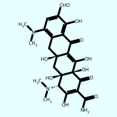 CN(C)c1cc(C=O)c(O)c2c1C[C@@]1(O)C[C@@]3(O)[C@@H](N(C)C)C(O)=C(C(N)=O)C(=O)[C@@]3(O)C(O)=C1C2=O